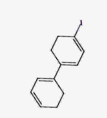 IC1=CC=C(C2=CC=CCC2)CC1